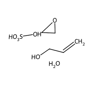 C1CO1.C=CCO.O.O=S(=O)(O)O